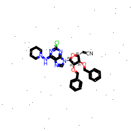 N#CC[C@H]1O[C@@H](n2cnc3c(NN4CCCCC4)nc(Cl)nc32)[C@H](OCc2ccccc2)[C@@H]1OCc1ccccc1